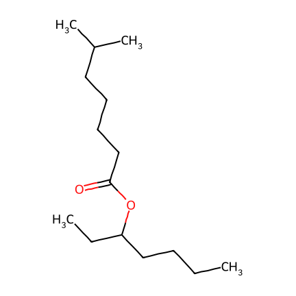 CCCCC(CC)OC(=O)CCCCC(C)C